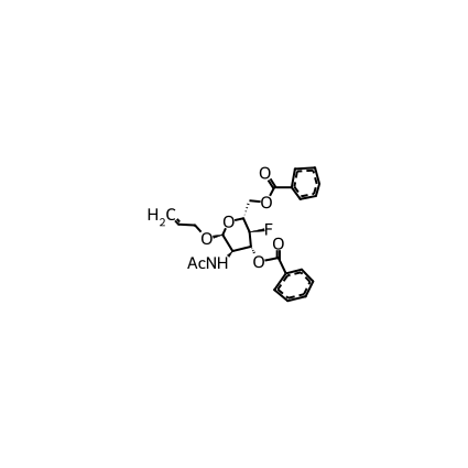 C=CCO[C@H]1O[C@H](COC(=O)c2ccccc2)[C@@H](F)[C@H](OC(=O)c2ccccc2)[C@H]1NC(C)=O